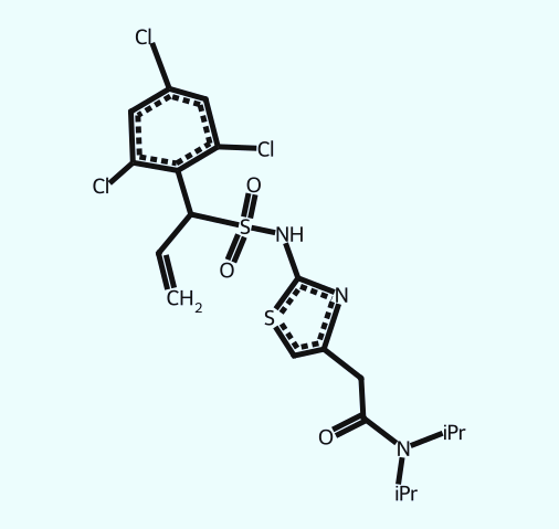 C=CC(c1c(Cl)cc(Cl)cc1Cl)S(=O)(=O)Nc1nc(CC(=O)N(C(C)C)C(C)C)cs1